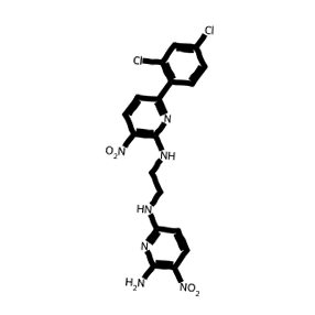 Nc1nc(NCCNc2nc(-c3ccc(Cl)cc3Cl)ccc2[N+](=O)[O-])ccc1[N+](=O)[O-]